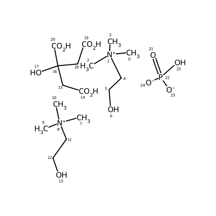 C[N+](C)(C)CCO.C[N+](C)(C)CCO.O=C(O)CC(O)(CC(=O)O)C(=O)O.O=P([O-])([O-])O